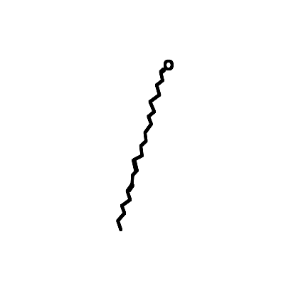 CCCCCC=CCC=CCCCCCCCCCCCC=O